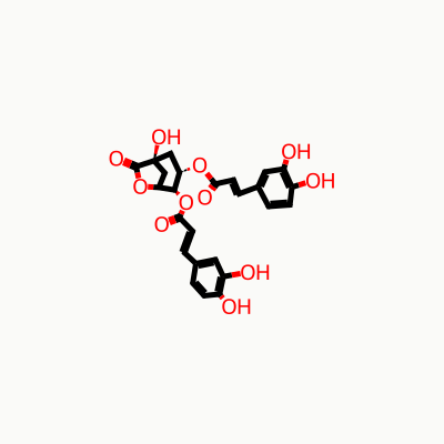 O=C(/C=C/c1ccc(O)c(O)c1)O[C@H]1C[C@]2(O)CC(OC2=O)[C@@H]1OC(=O)/C=C/c1ccc(O)c(O)c1